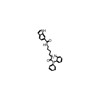 Nc1ccccc1N(C(=O)CCCCCNC(=O)c1ccc2cc[nH]c2c1)c1ccccc1